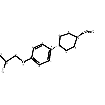 CCCCC[C@H]1CC[C@H](c2ccc(OCC(C)F)cc2)CC1